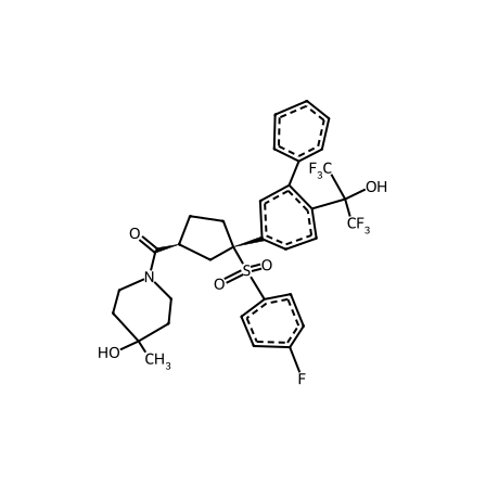 CC1(O)CCN(C(=O)[C@H]2CC[C@](c3ccc(C(O)(C(F)(F)F)C(F)(F)F)c(-c4ccccc4)c3)(S(=O)(=O)c3ccc(F)cc3)C2)CC1